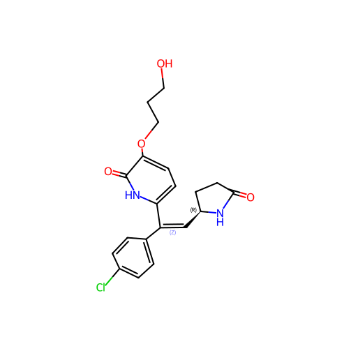 O=C1CC[C@H](/C=C(/c2ccc(Cl)cc2)c2ccc(OCCCO)c(=O)[nH]2)N1